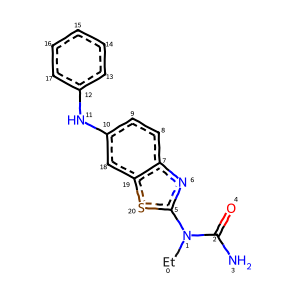 CCN(C(N)=O)c1nc2ccc(Nc3ccccc3)cc2s1